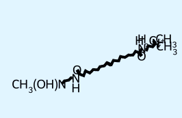 CN(O)CCCNC(=O)CCCCCCC/C=C/CCCCCCCC(=O)NCCC[N+](C)(C)C